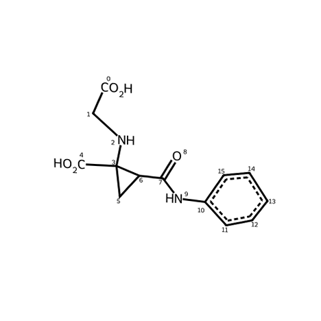 O=C(O)CNC1(C(=O)O)CC1C(=O)Nc1ccccc1